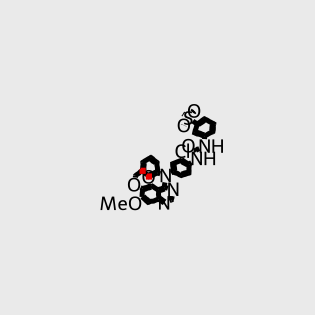 COc1cc2ncnc(N(c3ccccc3)c3ccc(NC(=O)Nc4cccc(S(C)(=O)=O)c4)c(Cl)c3)c2c2c1OCCO2